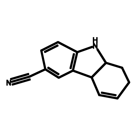 N#Cc1ccc2c(c1)C1C=CCCC1N2